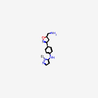 CCn1nccc1Nc1ccc(C2=NOC(CN)C2)cc1